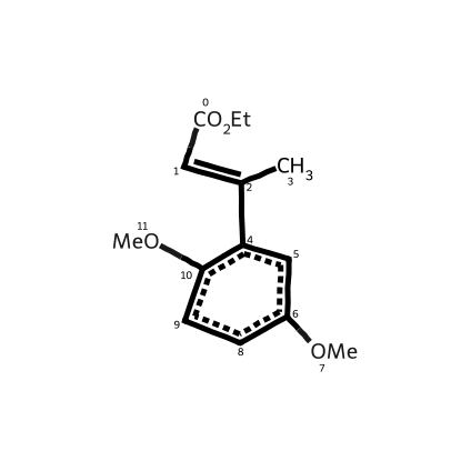 CCOC(=O)C=C(C)c1cc(OC)ccc1OC